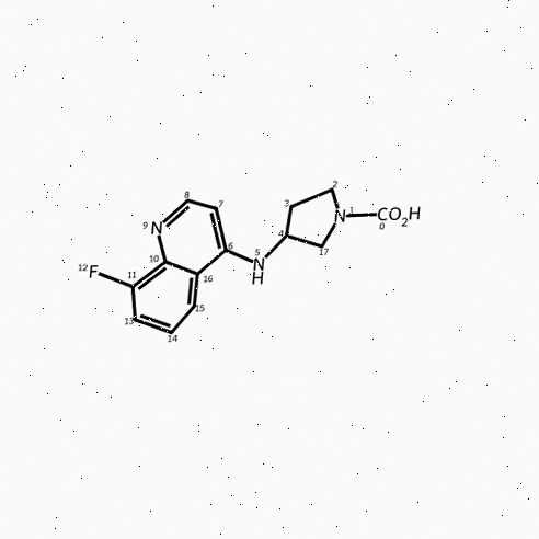 O=C(O)N1CCC(Nc2ccnc3c(F)cccc23)C1